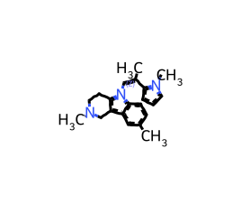 C/C(=C/n1c2c(c3cc(C)ccc31)CN(C)CC2)c1cccn1C